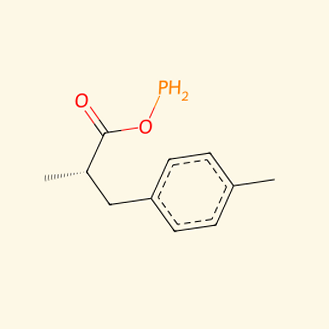 Cc1ccc(C[C@H](C)C(=O)OP)cc1